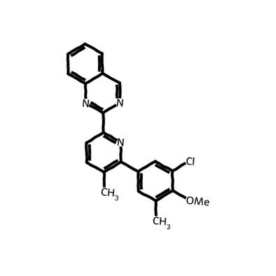 COc1c(C)cc(-c2nc(-c3ncc4ccccc4n3)ccc2C)cc1Cl